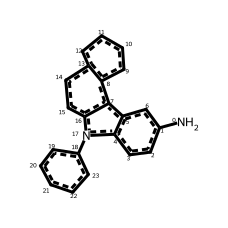 Nc1ccc2c(c1)c1c3ccccc3ccc1n2-c1ccccc1